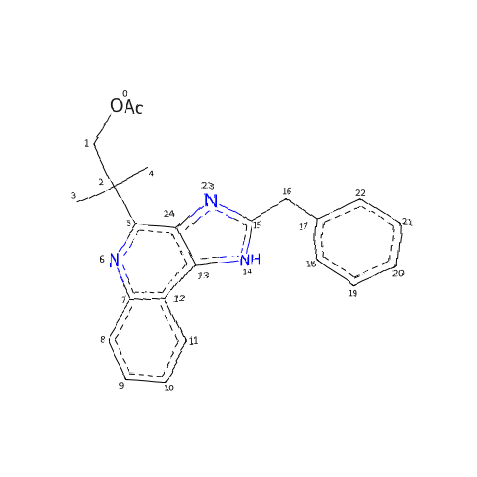 CC(=O)OCC(C)(C)c1nc2ccccc2c2[nH]c(Cc3ccccc3)nc12